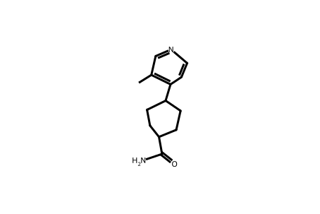 Cc1cnccc1C1CCC(C(N)=O)CC1